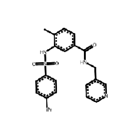 Cc1ccc(C(=O)NCc2cccnc2)cc1NS(=O)(=O)c1ccc(C(C)C)cc1